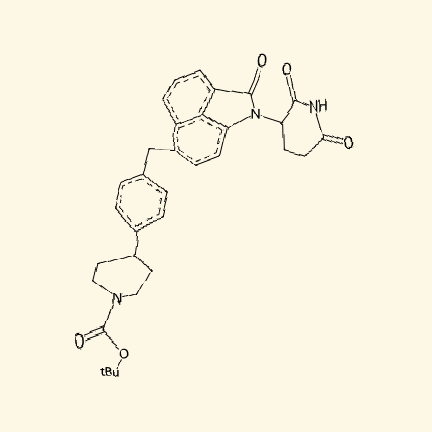 CC(C)(C)OC(=O)N1CCC(c2ccc(Cc3ccc4c5c(cccc35)C(=O)N4C3CCC(=O)NC3=O)cc2)CC1